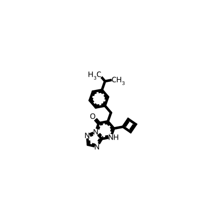 CC(C)c1cccc(Cc2c(C3=CC=C3)[nH]c3ncnn3c2=O)c1